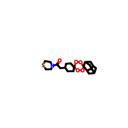 O=C(CC1CCC2(CC1)OOC1(OO2)C2CC3CC(C2)CC1C3)N1CCSCC1